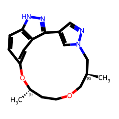 C[C@H]1COCC[C@H](C)Oc2ccc3[nH]nc(c3c2)-c2cnn(c2)C1